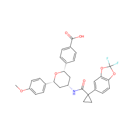 COc1ccc([C@H]2C[C@@H](NC(=O)C3(c4ccc5c(c4)OC(F)(F)O5)CC3)C[C@@H](c3ccc(C(=O)O)cc3)O2)cc1